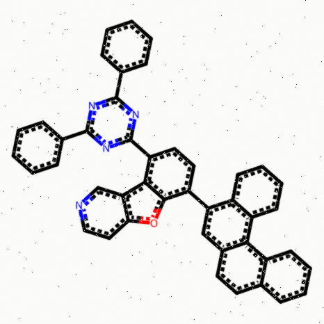 c1ccc(-c2nc(-c3ccccc3)nc(-c3ccc(-c4cc5ccc6ccccc6c5c5ccccc45)c4oc5ccncc5c34)n2)cc1